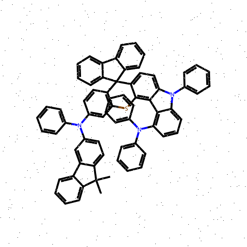 CC1(C)c2ccccc2-c2cc(N(c3ccccc3)c3ccc4c(c3)Sc3c(ccc5c3c3c(N(c6ccccc6)c6ccccc6)cccc3n5-c3ccccc3)C43c4ccccc4-c4ccccc43)ccc21